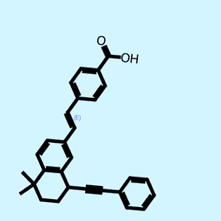 CC1(C)CCC(C#Cc2ccccc2)c2cc(/C=C/c3ccc(C(=O)O)cc3)ccc21